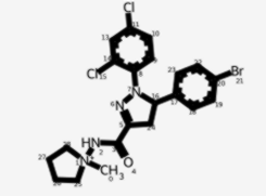 C[N+]1(NC(=O)C2=NN(c3ccc(Cl)cc3Cl)C(c3ccc(Br)cc3)C2)CCCC1